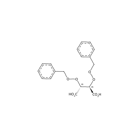 O=C(O)[C@H](OOCc1ccccc1)[C@@H](OOCc1ccccc1)C(=O)O